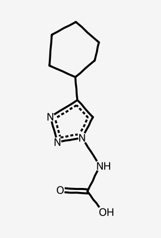 O=C(O)Nn1cc(C2CCCCC2)nn1